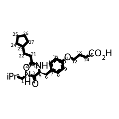 CC(C)CNC(=O)[C@H](Cc1ccc(OCCCC(=O)O)cc1)NC(=O)CCC1CCCC1